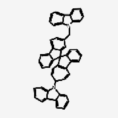 C1=CC(n2c3ccccc3c3ccccc32)C=CC2=C1c1ccccc1C21c2ccccc2-c2ccc(Cn3c4ccccc4c4ccccc43)cc21